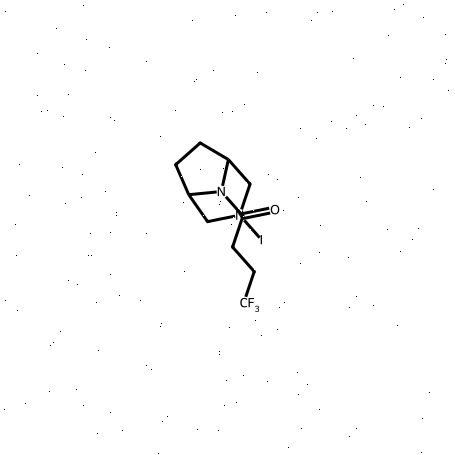 O=C(CCC(F)(F)F)N1C2CCC1CN(I)C2